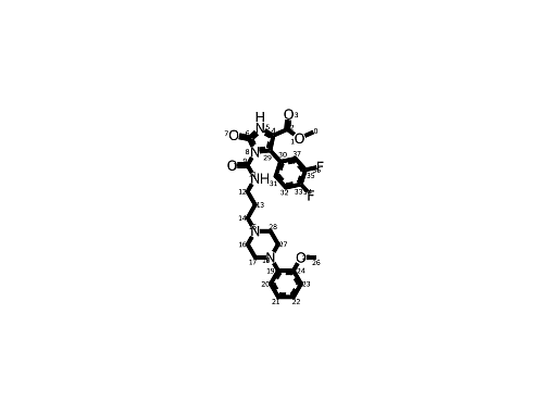 COC(=O)c1[nH]c(=O)n(C(=O)NCCCN2CCN(c3ccccc3OC)CC2)c1-c1ccc(F)c(F)c1